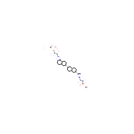 CC[C@@H](C(=N)C(=O)OC(C)(C)C)c1ncc(-c2ccc3cc(-c4ccc5c(ccc6nc([C@@H](CC)C(=N)C(=O)OC(C)(C)C)[nH]c65)c4)ccc3c2)[nH]1